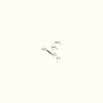 N.N.O=NO.[Zn]